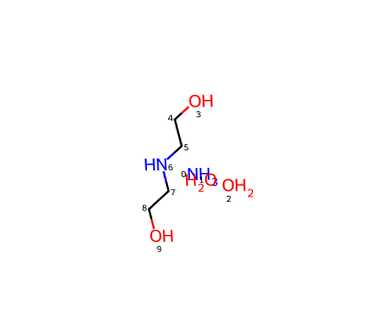 N.O.O.OCCNCCO